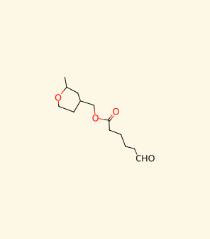 CC1CC(COC(=O)CCCCC=O)CCO1